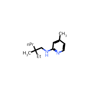 CCCC(C)(CC)CNc1cc(C)ccn1